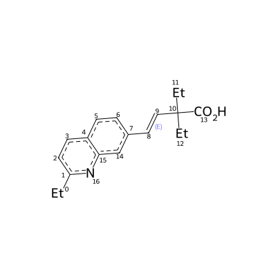 CCc1ccc2ccc(/C=C/C(CC)(CC)C(=O)O)cc2n1